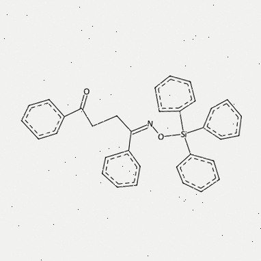 O=C(CC/C(=N/O[Si](c1ccccc1)(c1ccccc1)c1ccccc1)c1ccccc1)c1ccccc1